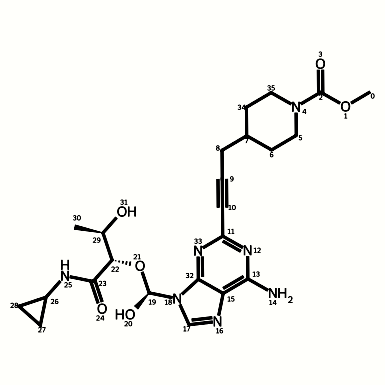 COC(=O)N1CCC(CC#Cc2nc(N)c3ncn([C@@H](O)O[C@H](C(=O)NC4CC4)[C@@H](C)O)c3n2)CC1